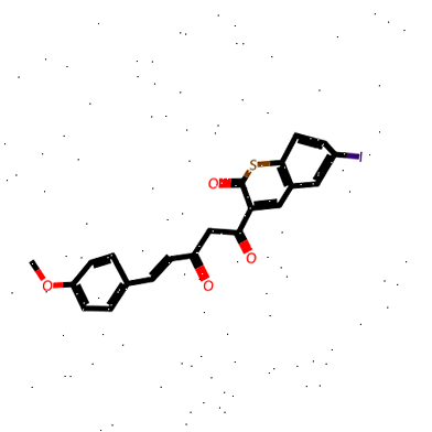 COc1ccc(/C=C/C(=O)CC(=O)c2cc3cc(I)ccc3sc2=O)cc1